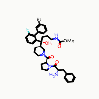 CCc1cccc(-c2c(F)cccc2[C@](O)(CCCNC(=O)OC)[C@@H]2CCCN(C(=O)[C@@H]3CCCN3C(=O)[C@@H](N)Cc3ccccc3)C2)c1